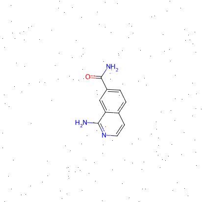 NC(=O)c1ccc2ccnc(N)c2c1